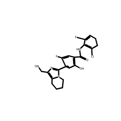 O=NCc1nc(-c2cc(O)c(C(=O)NC3=C(Cl)CCC=C3F)cc2F)n2c1CCCC2